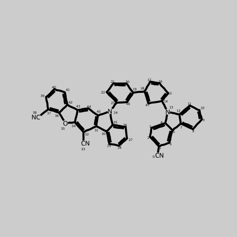 N#Cc1ccc2c(c1)c1ccccc1n2-c1cccc(-c2cccc(-n3c4ccccc4c4c(C#N)c5oc6c(C#N)cccc6c5cc43)c2)c1